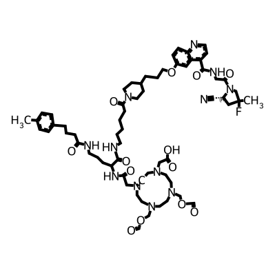 Cc1ccc(CCCC(=O)NCCCC(NC(=O)CN2CCN(COC=O)CCN(COC=O)CCN(CC(=O)O)CC2)C(=O)NCCCCCC(=O)N2CCC(CCCOc3ccc4nccc(C(=O)NCC(=O)N5CC(C)(F)C[C@@H]5C#N)c4c3)CC2)cc1